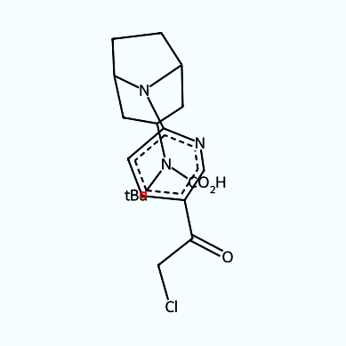 CC(C)(C)N(C(=O)O)C1CC2CCC(C1)N2c1ccc(C(=O)CCl)cn1